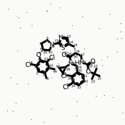 Cc1cc(Cl)c(O[C@@H]2CCN(c3ncc(C[C@H](CNC(=O)OC(C)(C)C)C(=O)N(Cc4cccc(Cl)c4Cl)C4CC4)s3)C2)c(Cl)c1C